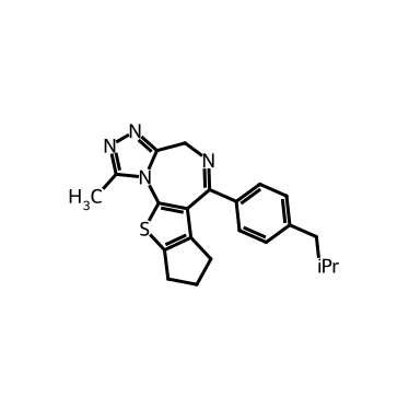 Cc1nnc2n1-c1sc3c(c1C(c1ccc(CC(C)C)cc1)=NC2)CCC3